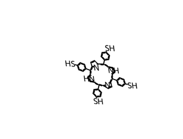 Sc1ccc(-c2c3nc(c(-c4ccc(S)cc4)c4ccc([nH]4)c(-c4ccc(S)cc4)c4nc(c(-c5ccc(S)cc5)c5ccc2[nH]5)C=C4)C=C3)cc1